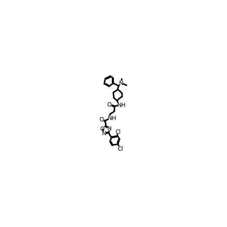 CN(C)C(c1ccccc1)C1CCC(NC(=O)CCNC(=O)c2nc(-c3ccc(Cl)cc3Cl)no2)CC1